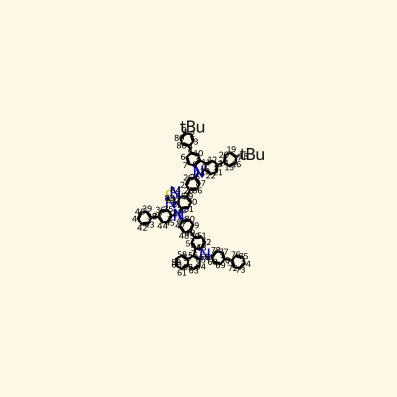 CC(C)(C)c1ccc(-c2ccc3c(c2)c2cc(-c4ccc(C(C)(C)C)cc4)ccc2n3-c2ccc(-c3ccc(N(c4ccc(-c5ccccc5)cc4)c4ccc(-c5ccc6c(c5)c5c7ccccc7ccc5n6-c5ccc(-c6ccccc6)cc5)cc4)c4nsnc34)cc2)cc1